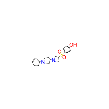 O=S(=O)(c1ccc(O)cc1)C1CCN(C2CCN(c3ccccc3)CC2)C1